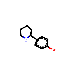 Oc1ccc(C2CCCCN2)cc1